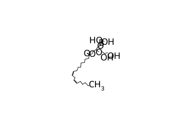 CCCCC/C=C\C/C=C\CCCCCCCC(=O)OCC(COB(O)O)OCC(O)CO